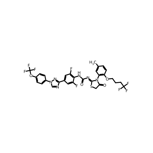 Cc1ccc(OCCCC(F)(F)F)c(N2C(=O)CS/C2=N\C(=O)Nc2c(F)cc(-c3ncn(-c4ccc(OC(F)(F)F)cc4)n3)cc2F)c1